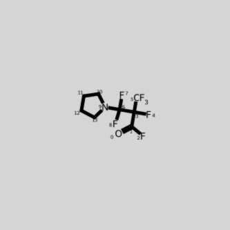 O=C(F)C(F)(C(F)(F)F)C(F)(F)N1CCCC1